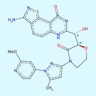 COc1cc(-n2nc(N3CCO[C@H]([C@@H](O)c4nc(=O)c5c(ccc6c(N)nsc65)[nH]4)C3=O)cc2C)ccn1